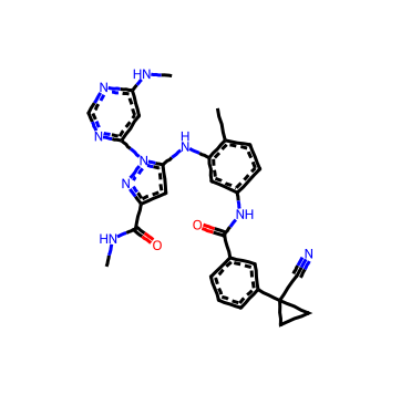 CNC(=O)c1cc(Nc2cc(NC(=O)c3cccc(C4(C#N)CC4)c3)ccc2C)n(-c2cc(NC)ncn2)n1